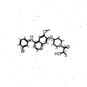 COc1cc2c(Nc3cccc(Br)c3)ncnc2cc1OC1CCN(C(=O)C(C)O)CC1